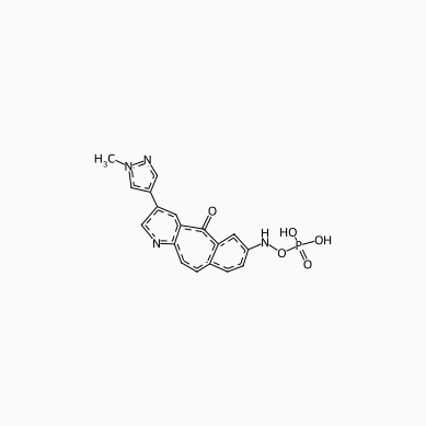 Cn1cc(-c2cnc3ccc4ccc(NOP(=O)(O)O)cc4c(=O)c3c2)cn1